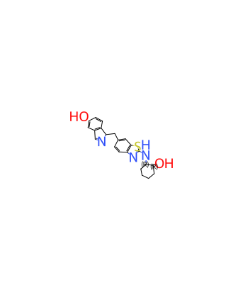 Oc1ccc2c(c1)C=NC2Cc1ccc2nc(N[C@@H]3CCCC[C@H]3O)sc2c1